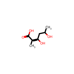 CC(C(=O)O)=C(O)CC(C)O